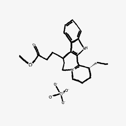 CC[C@@H]1CCC[N+]2=C1c1[nH]c3ccccc3c1C(CCC(=O)OC)C2.[O-][Cl+3]([O-])([O-])[O-]